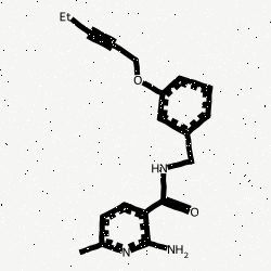 CCC#CCOc1cccc(CNC(=O)c2ccc(C)nc2N)c1